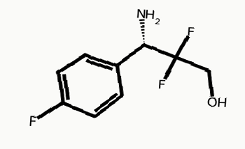 N[C@@H](c1ccc(F)cc1)C(F)(F)CO